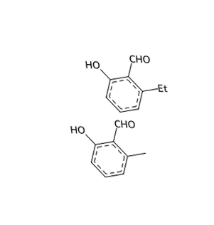 CCc1cccc(O)c1C=O.Cc1cccc(O)c1C=O